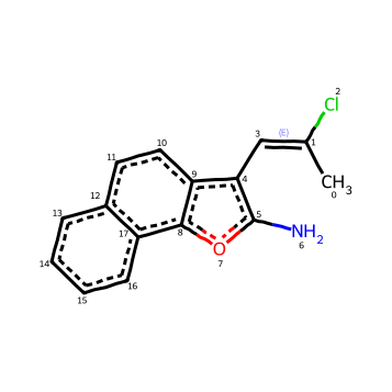 C/C(Cl)=C\c1c(N)oc2c1ccc1ccccc12